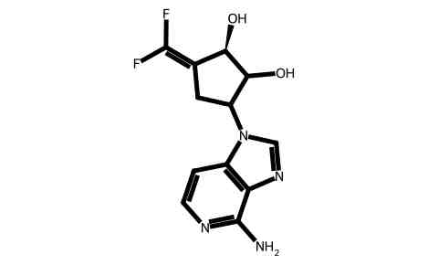 Nc1nccc2c1ncn2C1CC(=C(F)F)[C@@H](O)C1O